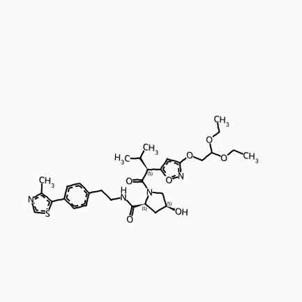 CCOC(COc1cc([C@@H](C(=O)N2C[C@@H](O)C[C@H]2C(=O)NCCc2ccc(-c3scnc3C)cc2)C(C)C)on1)OCC